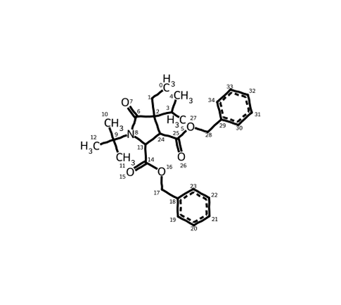 CCC1(C(C)C)C(=O)N(C(C)(C)C)C(C(=O)OCc2ccccc2)C1C(=O)OCc1ccccc1